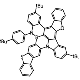 CC(C)(C)c1ccc(N2B3c4cc5sc6ccccc6c5cc4-n4c5ccc(C(C)(C)C)cc5c5c6oc7ccccc7c6c(c3c54)-c3cc(C(C)(C)C)ccc32)cc1